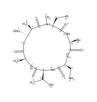 CCCCCCCCCC[C@H]1OC(=O)[C@H](C)NC(=O)[C@H](C(C)O)NC(=O)[C@H](CN)NC(=O)[C@H](C(C)CC)NC(=O)[C@H](CC(C)C)N(C)C(=O)[C@@H]1C